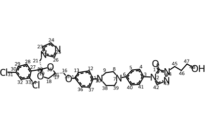 O=c1n(-c2ccc(N3CCN(c4ccc(OC[C@@H]5CO[C@@](Cn6ccnc6)(c6ccc(Cl)cc6Cl)O5)cc4)CC3)cc2)cnn1CCCO